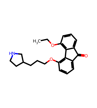 CCOc1cccc2c1-c1c(OCCCC3CCNC3)cccc1C2=O